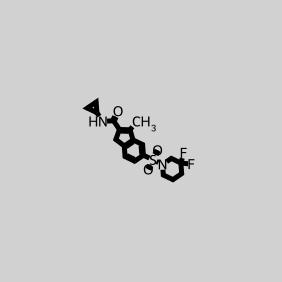 CC1=C(C(=O)NC2CC2)Cc2ccc(S(=O)(=O)N3CCCC(F)(F)C3)cc21